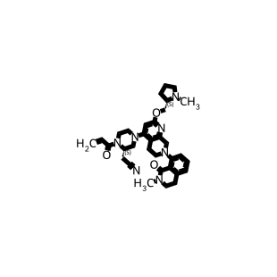 C=CC(=O)N1CCN(c2cc(OC[C@@H]3CCCN3C)nc3c2CCN(c2cccc4c2C(=O)N(C)CC4)C3)C[C@@H]1CC#N